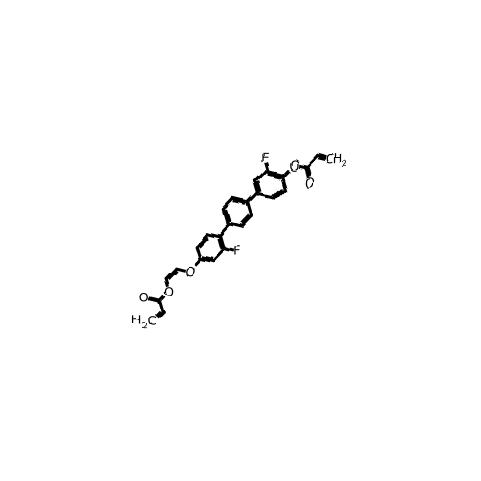 C=CC(=O)O/C=C\Oc1ccc(-c2ccc(-c3ccc(OC(=O)C=C)c(F)c3)cc2)c(F)c1